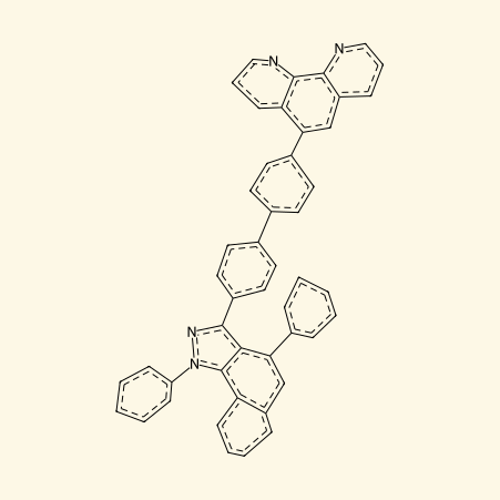 c1ccc(-c2cc3ccccc3c3c2c(-c2ccc(-c4ccc(-c5cc6cccnc6c6ncccc56)cc4)cc2)nn3-c2ccccc2)cc1